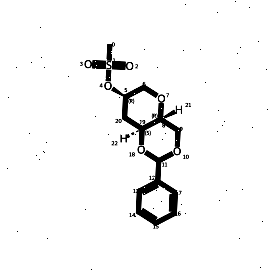 CS(=O)(=O)O[C@H]1CO[C@@H]2COC(c3ccccc3)O[C@H]2C1